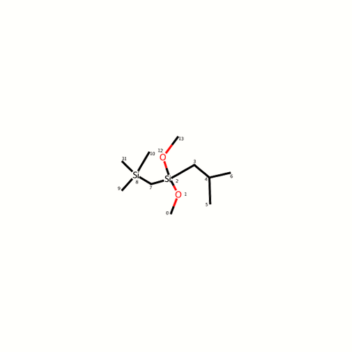 CO[Si](CC(C)C)(C[Si](C)(C)C)OC